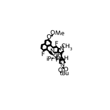 COCOc1cc(-c2ncc3c(C4[C@H]5CN(C(=O)OC(C)(C)C)C[C@@H]45)cn(C)c3c2F)c2c(C#C[Si](C(C)C)(C(C)C)C(C)C)c(F)ccc2c1